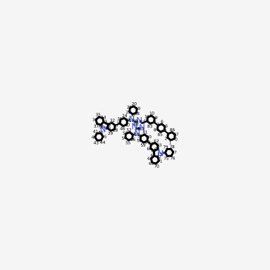 c1ccc(-c2ccc(-c3cccc(-c4nc(N(c5ccccc5)c5ccc(-c6ccc7c(c6)c6ccccc6n7-c6ccccc6)cc5)nc(N(c5ccccc5)c5ccc(-c6ccc7c(c6)c6ccccc6n7-c6ccccc6)cc5)n4)c3)cc2)cc1